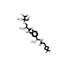 C[C@@H](NC(=O)CC1CC(F)(F)C1)c1ccc2nc([C@@H](N)COC(C)(CF)C(F)F)[nH]c2c1